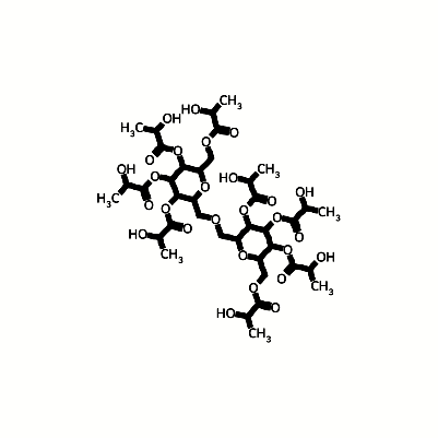 CC(O)C(=O)OCC1OC(COCC2OC(COC(=O)C(C)O)C(OC(=O)C(C)O)C(OC(=O)C(C)O)C2OC(=O)C(C)O)C(OC(=O)C(C)O)C(OC(=O)C(C)O)C1OC(=O)C(C)O